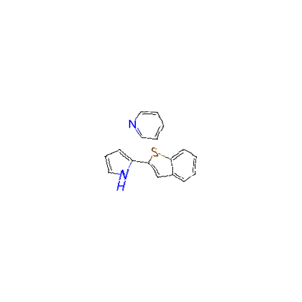 c1c[nH]c(-c2cc3ccccc3s2)c1.c1ccncc1